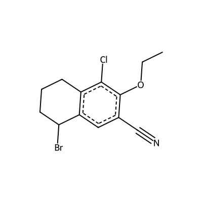 CCOc1c(C#N)cc2c(c1Cl)CCCC2Br